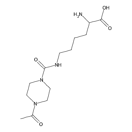 CC(=O)N1CCN(C(=O)NCCCCC(N)C(=O)O)CC1